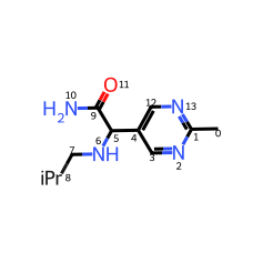 Cc1ncc(C(NCC(C)C)C(N)=O)cn1